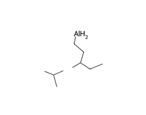 CC(C)C.CCC(C)C[CH2][AlH2]